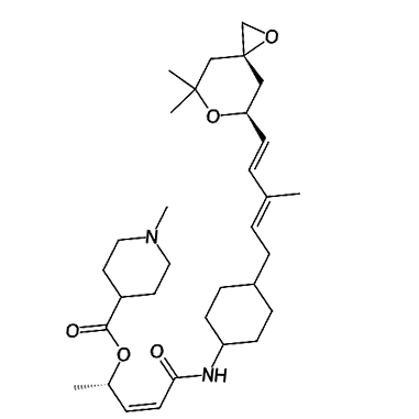 CC(/C=C/[C@@H]1C[C@]2(CO2)CC(C)(C)O1)=C\CC1CCC(NC(=O)/C=C\[C@H](C)OC(=O)C2CCN(C)CC2)CC1